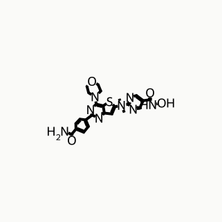 C[N+](C)(c1ncc(C(=O)NO)cn1)c1cc2nc(-c3ccc(C(N)=O)cc3)nc(N3CCOCC3)c2s1